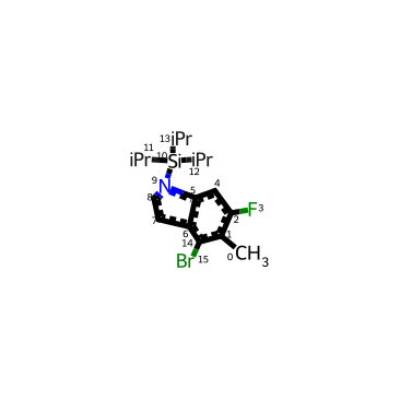 Cc1c(F)cc2c(ccn2[Si](C(C)C)(C(C)C)C(C)C)c1Br